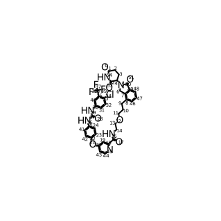 O=C1CCC(N2Cc3c(CCCOCCNC(=O)c4cc(Oc5ccc(NC(=O)Nc6ccc(Cl)c(C(F)(F)F)c6)cc5)ccn4)cccc3C2=O)C(=O)N1